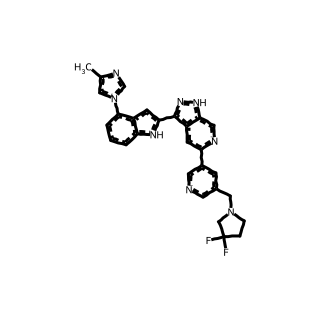 Cc1cn(-c2cccc3[nH]c(-c4n[nH]c5cnc(-c6cncc(CN7CCC(F)(F)C7)c6)cc45)cc23)cn1